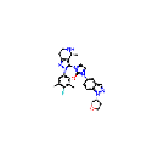 Cc1cc(-n2nc3c(c2-n2ccn(-c4ccc5c(cnn5[C@@H]5CCOC5)c4)c2=O)[C@H](C)NCC3)cc(C)c1F